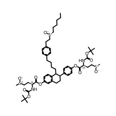 CCCCCC[S+]([O-])CCc1ccc(CCCCC2c3ccc(OC(=O)[C@H](CC[S+](C)[O-])NC(=O)OC(C)(C)C)cc3CCC2c2ccc(OC(=O)[C@H](CC[S+](C)[O-])NC(=O)OC(C)(C)C)cc2)cc1